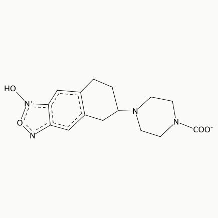 O=C([O-])N1CCN(C2CCc3cc4c(cc3C2)no[n+]4O)CC1